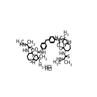 CN[C@@H](C)C(=S)N[C@H]1CCS[C@H]2CC(C)(C)[C@@H](C(=O)Nc3ccc(Cc4ccc(NC(=O)[C@H]5N6C(=O)[C@@H](NC(=S)[C@H](C)NC)CCS[C@H]6CC5(C)C)cc4)cc3)N2C1=O.Cl.Cl